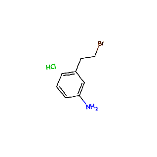 Cl.Nc1cccc(CCBr)c1